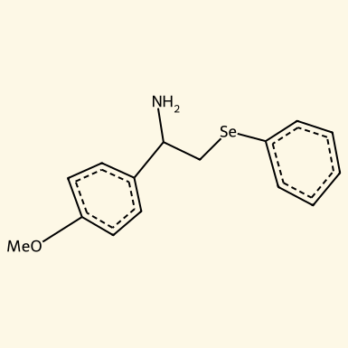 COc1ccc(C(N)C[Se]c2ccccc2)cc1